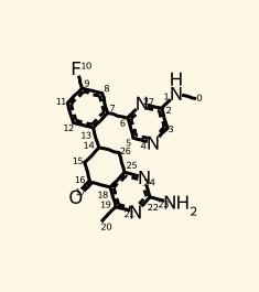 CNc1cncc(-c2cc(F)ccc2C2CC(=O)c3c(C)nc(N)nc3C2)n1